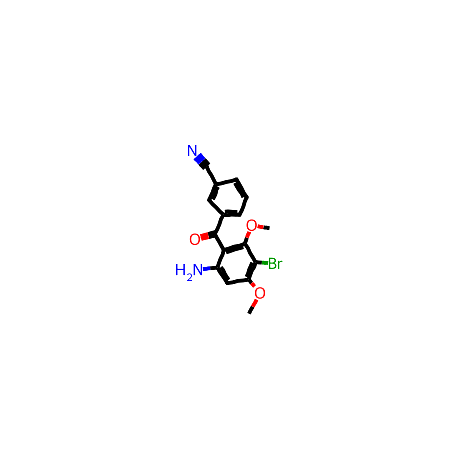 COc1cc(N)c(C(=O)c2cccc(C#N)c2)c(OC)c1Br